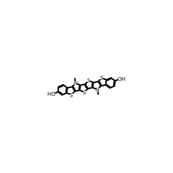 Cn1c2c3ccc(O)cc3sc2c2sc3c(sc4c5sc6cc(O)ccc6c5n(C)c43)c21